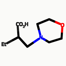 CCC(CN1CCOCC1)C(=O)O